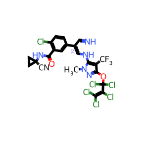 Cn1nc(OC(Cl)(Cl)C(Cl)=C(Cl)Cl)c(C(F)(F)F)c1N/C=C(\C=N)c1ccc(Cl)c(C(=O)NC2(C#N)CC2)c1